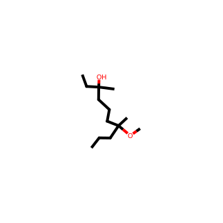 CCCC(C)(CCCC(C)(O)CC)OC